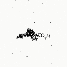 CC(C)C[C@H](C(=O)NCCC(=O)O)c1cc(CCN2CC(F)C2)cn(C)c1=O